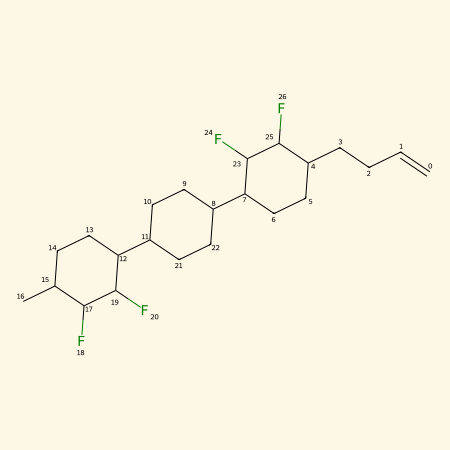 C=CCCC1CCC(C2CCC(C3CCC(C)C(F)C3F)CC2)C(F)C1F